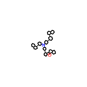 c1cc(-c2ccc(N(c3ccc(-c4cccc5oc6c7ccccc7ccc6c45)cc3)c3cccc(-c4cccc5ccccc45)c3)cc2)cc(-c2cccc3ccccc23)c1